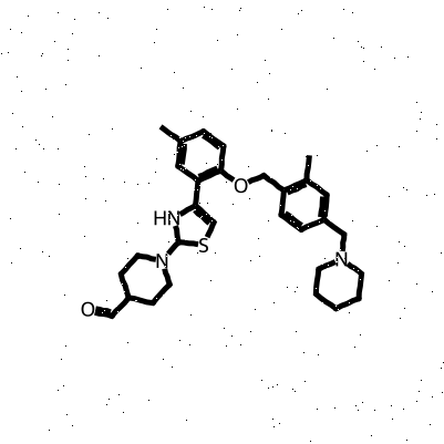 Cc1ccc(OCc2ccc(CN3CCCCC3)cc2C)c(C2=CSC(N3CCC(C=O)CC3)N2)c1